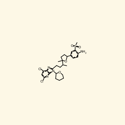 CC(CCc1nc2c(Cl)cc(Cl)nc2n1C1CCCCO1)C1(C)CCC(c2ccc(N)c(S(C)(=O)=O)c2)O1